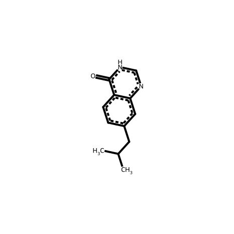 CC(C)Cc1ccc2c(=O)[nH]cnc2c1